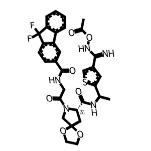 CC(=O)ONC(=N)c1csc(C(C)NC(=O)[C@@H]2CC3(CN2C(=O)CNC(=O)c2ccc4c(c2)-c2ccccc2C4(F)F)OCCO3)c1